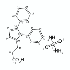 NS(=O)(=O)Nc1ccc(-n2c(CCC(=O)O)ccc2-c2ccccc2)cc1